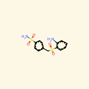 Nc1ccccc1S(=O)(=O)Cc1ccc(S(N)(=O)=O)cc1